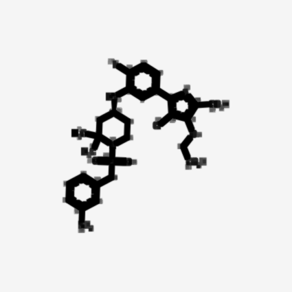 CC1(C)C[C@@H](Nc2cc(-c3sc(C(=O)O)c(OCC(=O)O)c3Cl)ccc2F)CCN1S(=O)(=O)Cc1cccc(N)c1